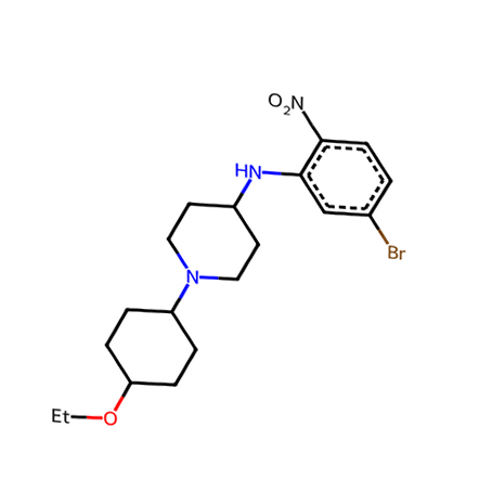 CCOC1CCC(N2CCC(Nc3cc(Br)ccc3[N+](=O)[O-])CC2)CC1